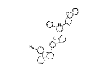 N#Cc1ccc2c(c1)C1(CCCCC1)C1CC=CC(c3ccc4c(c3)C3CC=CC(c5cc(-c6ccc7c(c6)oc6ccccc67)nc(-c6ccccc6)n5)=C3O4)=C21